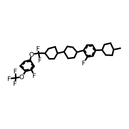 CC1CCC(c2ccc(C3CCC(C4CCC(C(F)(F)Oc5ccc(OC(F)(F)F)c(F)c5)CC4)CC3)c(F)c2)CC1